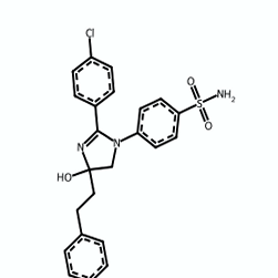 NS(=O)(=O)c1ccc(N2CC(O)(CCc3ccccc3)N=C2c2ccc(Cl)cc2)cc1